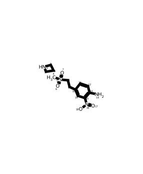 C1CNC1.CS(=O)(=O)CCc1ccc(N)c([N+](=O)[O-])c1